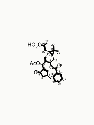 C=C([C@H](OC(C)=O)C1=C[C@@H](C)CC1=O)[C@@H](C[C@H]1[C@@H](/C=C(\C)C(=O)O)C1(C)C)OC(=O)c1ccccc1